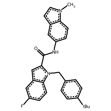 Cn1ccc2cc(NC(=O)c3cc4cc(F)ccc4n3Cc3ccc(C(C)(C)C)cc3)ccc21